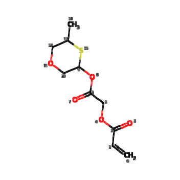 C=CC(=O)OCC(=O)OC1COCC(C)S1